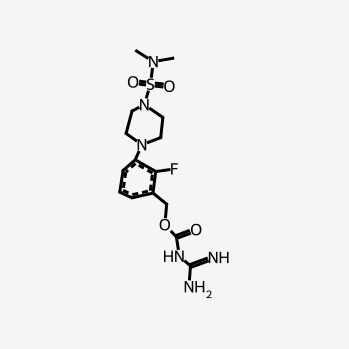 CN(C)S(=O)(=O)N1CCN(c2cccc(COC(=O)NC(=N)N)c2F)CC1